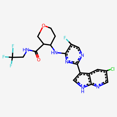 O=C(NCC(F)(F)F)C1COCCC1Nc1nc(-c2c[nH]c3ncc(Cl)cc23)ncc1F